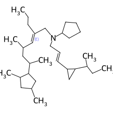 CCC/C(=C\C(C)CC(C)C1CC(C)CC1C)CN(CC=CC1CC1C(C)CC)C1CCCC1